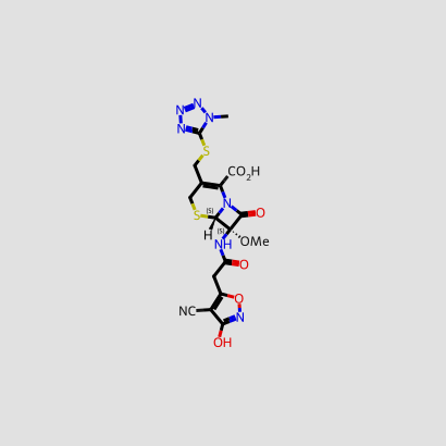 CO[C@@]1(NC(=O)Cc2onc(O)c2C#N)C(=O)N2C(C(=O)O)=C(CSc3nnnn3C)CS[C@H]21